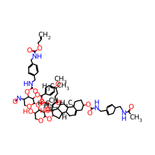 C=CCOC(=O)NCc1ccc(CNC(=O)OC2C(N=O)COC(OC3C(O)COC(OC4C[C@H]5C6CC=C7CC(OC(=O)NCC8=CCC(CNC(C)=O)C=C8)CCC7(C)C6CCC5(C)[C@@]4(O)[C@H](C)C(=O)CCC(C)C)C3OC(C)=O)C2OC(=O)c2ccc(OC)cc2)cc1